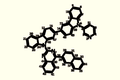 c1cncc(-n2c3ccccc3c3cc(-c4ccc5c6ccccc6n(-c6nc(-c7ccc8ccccc8c7)c7ccccc7n6)c5c4)ccc32)c1